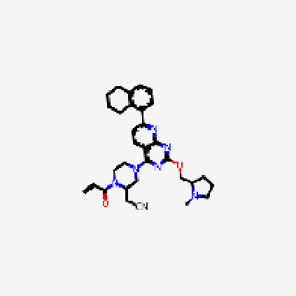 C=CC(=O)N1CCN(c2nc(OCC3CCCN3C)nc3nc(-c4cccc5c4CCCC5)ccc23)CC1CC#N